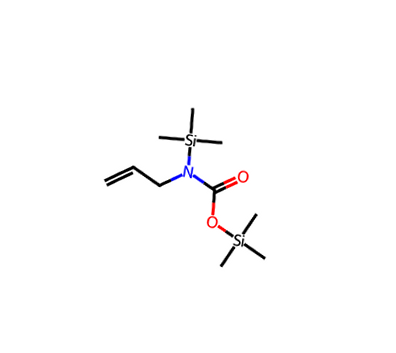 C=CCN(C(=O)O[Si](C)(C)C)[Si](C)(C)C